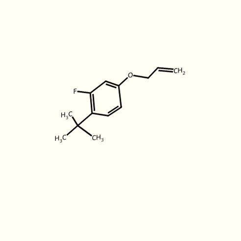 C=CCOc1ccc(C(C)(C)C)c(F)c1